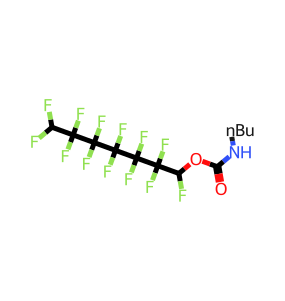 CCCCNC(=O)OC(F)C(F)(F)C(F)(F)C(F)(F)C(F)(F)C(F)(F)C(F)F